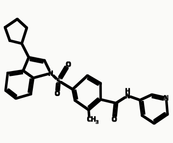 Cc1cc(S(=O)(=O)n2cc(C3CCCC3)c3ccccc32)ccc1C(=O)Nc1cccnc1